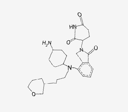 NC1CCC(N(CCCC2CCCOC2)c2cccc3c2CN(C2CCC(=O)NC2=O)C3=O)CC1